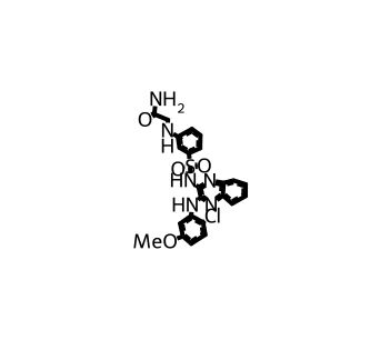 COc1ccc(Cl)c(Nc2nc3ccccc3nc2NS(=O)(=O)c2cccc(NCC(N)=O)c2)c1